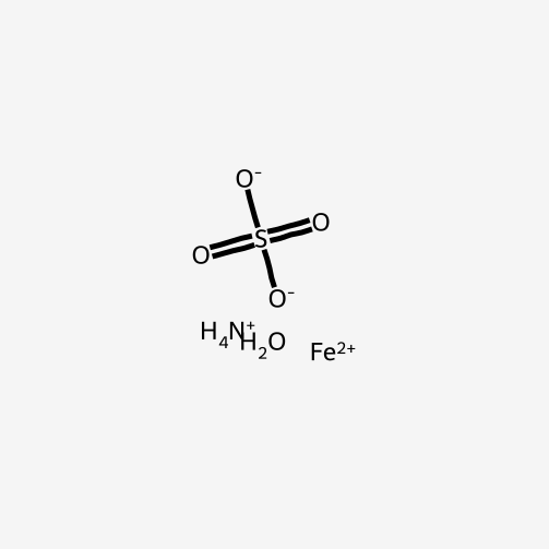 O.O=S(=O)([O-])[O-].[Fe+2].[NH4+]